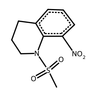 CS(=O)(=O)N1CCCc2cccc([N+](=O)[O-])c21